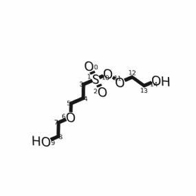 O=S(=O)(CCCOCCO)OOCCO